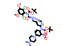 COc1cc(OC)c(Cl)c(N(C(=O)NCc2cc(N(C(=O)OC(C)(C)C)c3ccc(N4CCC(N(C)C5CC5)CC4)cc3[N+](=O)[O-])ncn2)C(=O)OC(C)(C)C)c1Cl